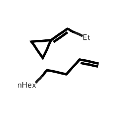 C=CCCCCCCCC.CCC=C1CC1